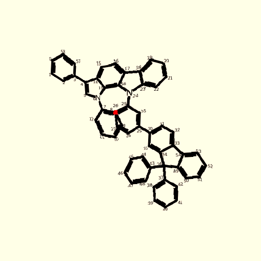 c1ccc(-c2cn(-c3ccccc3)c3c2ccc2c4ccccc4n(-c4cccc(-c5ccc6c(c5)C(c5ccccc5)(c5ccccc5)c5ccccc5-6)c4)c23)cc1